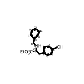 CCOC(=O)[C@H](Cc1ccc(O)cc1)NCc1ccccc1